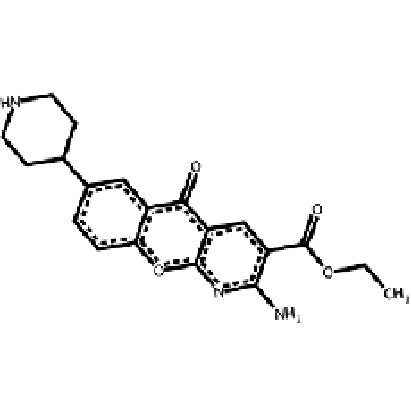 CCOC(=O)c1cc2c(=O)c3cc(C4CCNCC4)ccc3oc2nc1N